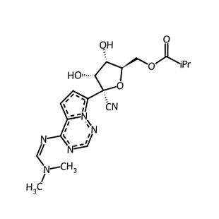 CC(C)C(=O)OC[C@H]1O[C@@](C#N)(c2ccc3c(/N=C\N(C)C)ncnn23)[C@H](O)[C@@H]1O